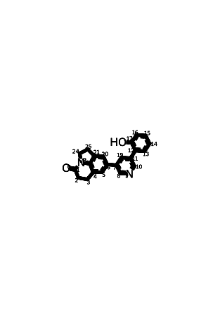 O=C1CCc2cc(-c3cncc(-c4ccccc4O)c3)cc3c2N1CC3